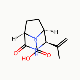 C=C(C)[C@H]1NC(=O)[C@H]2CC[C@@H]1N2C(=O)O